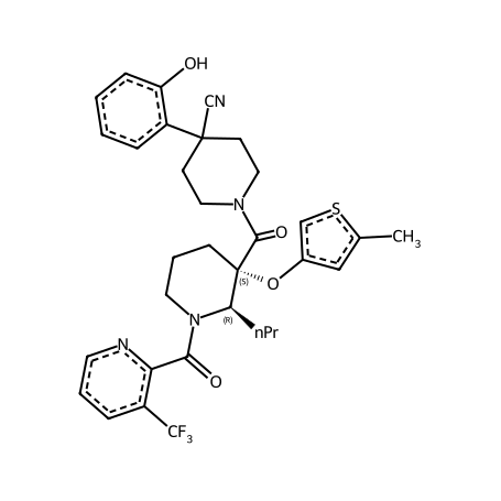 CCC[C@H]1N(C(=O)c2ncccc2C(F)(F)F)CCC[C@@]1(Oc1csc(C)c1)C(=O)N1CCC(C#N)(c2ccccc2O)CC1